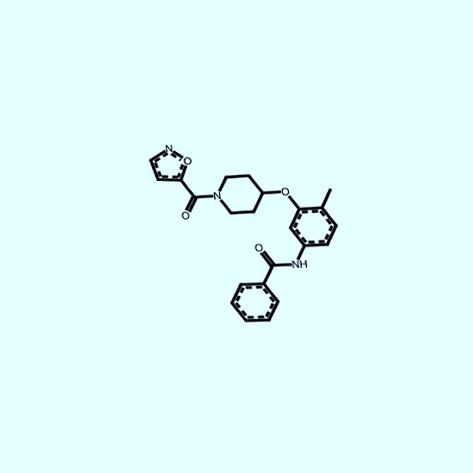 Cc1ccc(NC(=O)c2ccccc2)cc1OC1CCN(C(=O)c2ccno2)CC1